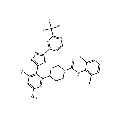 Cc1nc(C)c(-c2nnc(-c3ccnc(C(F)(F)F)n3)o2)c(C2CCN(C(=S)Nc3c(F)cccc3F)CC2)n1